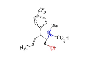 C/C=C/[C@H](c1ccc(C(F)(F)F)cc1)[C@H](CO)N(C(=O)O)C(C)(C)C